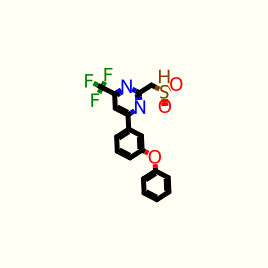 O=[SH](=O)Cc1nc(-c2cccc(Oc3ccccc3)c2)cc(C(F)(F)F)n1